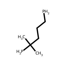 CC(C)(P)CCCP